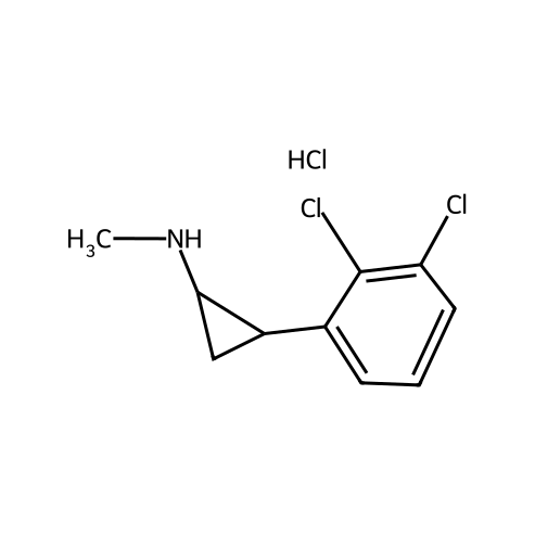 CNC1CC1c1cccc(Cl)c1Cl.Cl